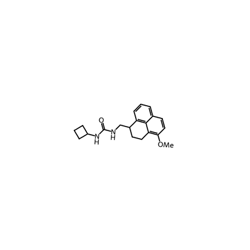 COc1ccc2cccc3c2c1CCC3CNC(=O)NC1CCC1